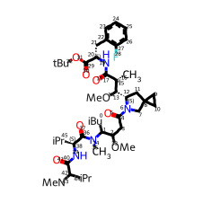 CCC(C)C(C(CC(=O)N1CC2(CC2)C[C@H]1C(OC)[C@@H](C)C(=O)N[C@@H](Cc1ccccc1F)C(=O)OC(C)(C)C)OC)N(C)C(=O)[C@@H](NC(=O)C(NC)C(C)C)C(C)C